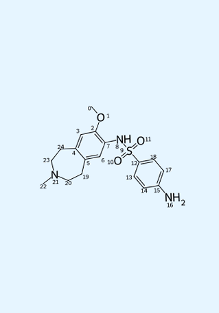 COc1cc2c(cc1NS(=O)(=O)c1ccc(N)cc1)CCN(C)CC2